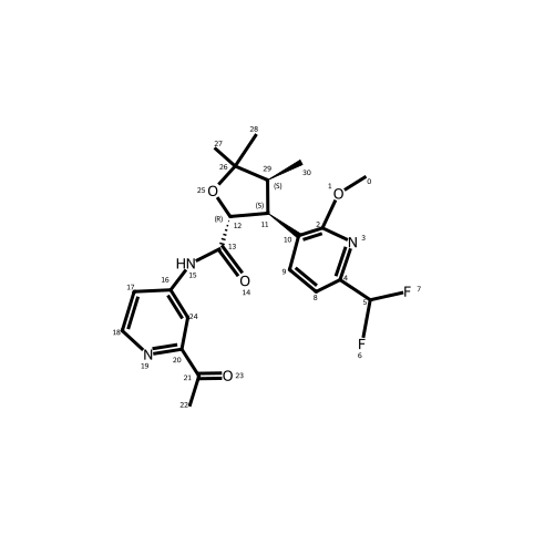 COc1nc(C(F)F)ccc1[C@H]1[C@H](C(=O)Nc2ccnc(C(C)=O)c2)OC(C)(C)[C@H]1C